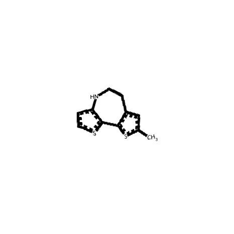 Cc1cc2c(s1)-c1sccc1NCC2